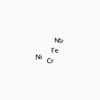 [Cr].[Fe].[Nb].[Ni]